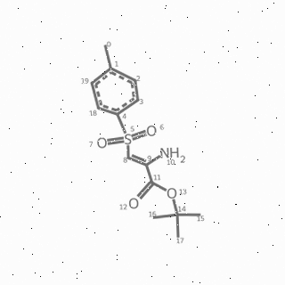 Cc1ccc(S(=O)(=O)C=C(N)C(=O)OC(C)(C)C)cc1